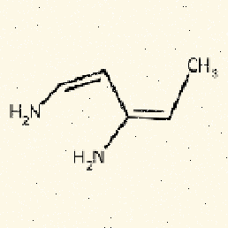 C/C=C(N)\C=C/N